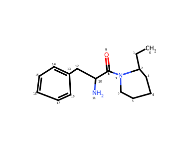 CCC1CCCCN1C(=O)C(N)Cc1ccccc1